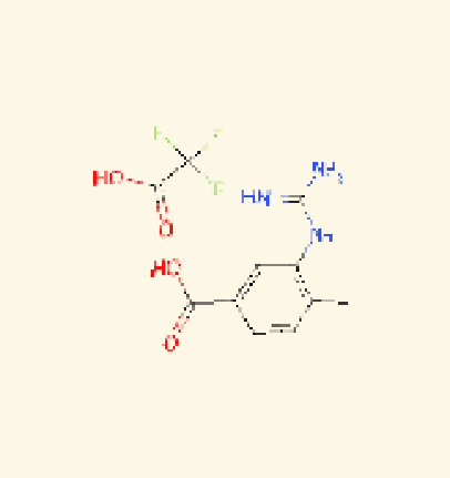 Cc1ccc(C(=O)O)cc1NC(=N)N.O=C(O)C(F)(F)F